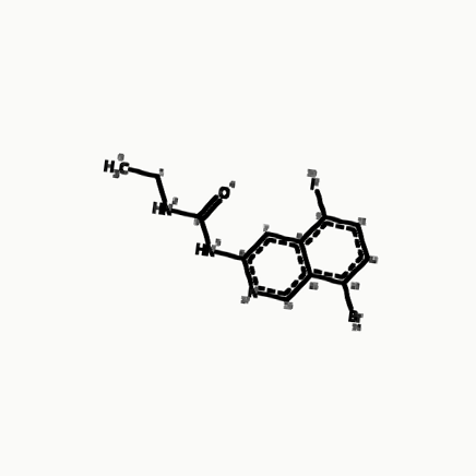 CCNC(=O)Nc1cc2c(F)ccc(Br)c2cn1